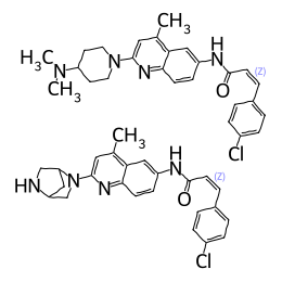 Cc1cc(N2CC3CC2CN3)nc2ccc(NC(=O)/C=C\c3ccc(Cl)cc3)cc12.Cc1cc(N2CCC(N(C)C)CC2)nc2ccc(NC(=O)/C=C\c3ccc(Cl)cc3)cc12